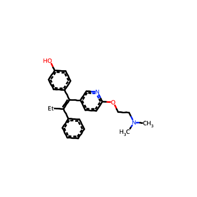 CC/C(=C(\c1ccc(O)cc1)c1ccc(OCCN(C)C)nc1)c1ccccc1